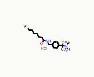 COC(C(=O)O)(c1ccc(CNC(=O)CCCCC=CC(C)C)cc1)N(C)C.Cl